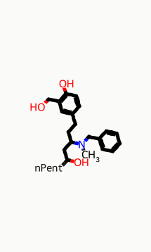 CCCCCC(O)CC(CCc1ccc(O)c(CO)c1)N(C)Cc1ccccc1